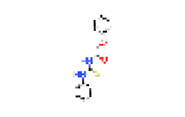 O=C(COc1ccccc1)NC(=S)Nc1ccccc1